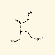 CCCC(C)CCC(C)(CO)C(=O)OO